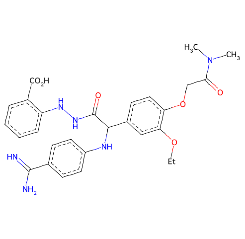 CCOc1cc(C(Nc2ccc(C(=N)N)cc2)C(=O)NNc2ccccc2C(=O)O)ccc1OCC(=O)N(C)C